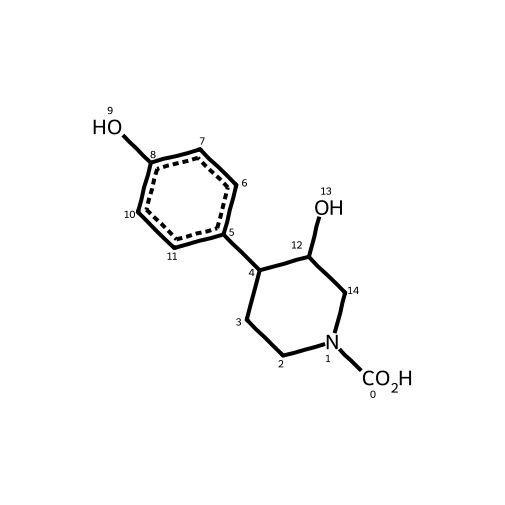 O=C(O)N1CCC(c2ccc(O)cc2)C(O)C1